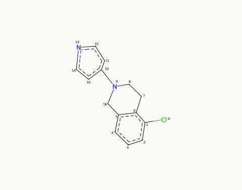 Clc1cccc2c1CCN(c1ccncc1)C2